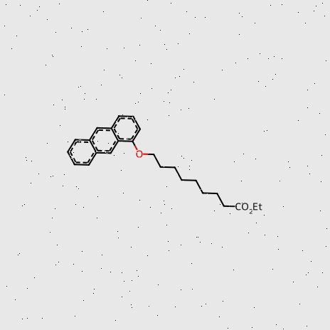 CCOC(=O)CCCCCCCCOc1cccc2cc3ccccc3cc12